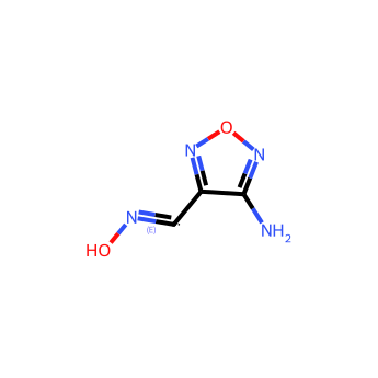 Nc1nonc1/[C]=N/O